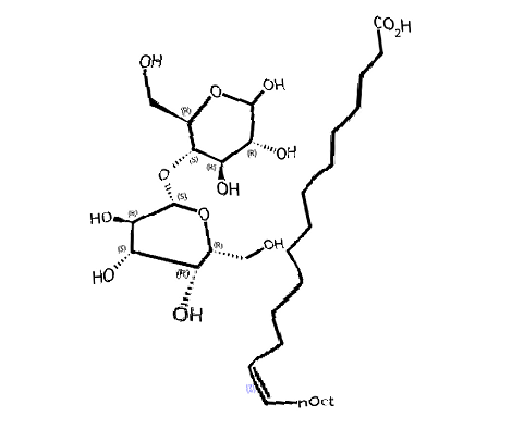 CCCCCCCC/C=C\CCCCCCCCCCCC(=O)O.OC[C@H]1O[C@@H](O[C@H]2[C@H](O)[C@@H](O)C(O)O[C@@H]2CO)[C@H](O)[C@@H](O)[C@H]1O